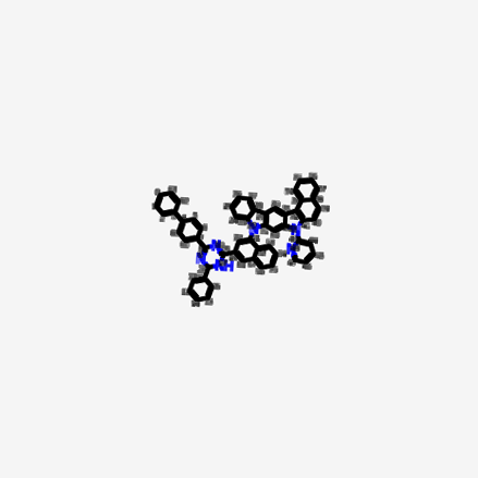 c1ccc(-c2ccc(C3=NC(c4ccccc4)NC(c4cc(-n5c6ccccc6c6cc7c8c9ccccc9ccc8n(-c8ccccn8)c7cc65)c5ccccc5c4)=N3)cc2)cc1